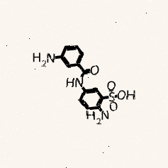 Nc1cccc(C(=O)Nc2ccc(N)c(S(=O)(=O)O)c2)c1